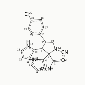 CNC(=O)C1(c2ccc[nH]2)C(c2ccc[nH]2)C(c2ccc(Cl)cc2)CN1C#N